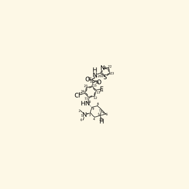 CN(C)[C@@H]1C[C@H]2C=C2C[C@H]1Nc1cc(F)c(S(=O)(=O)Nc2nccs2)cc1Cl